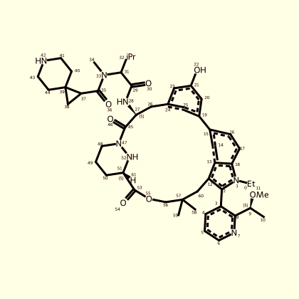 CCn1c(-c2cccnc2[C@H](C)OC)c2c3cc(ccc31)-c1cc(O)cc(c1)C[C@H](NC(=O)C(C(C)C)N(C)C(=O)C1CC13CCNCC3)C(=O)N1CCC[C@H](N1)C(=O)OCC(C)(C)C2